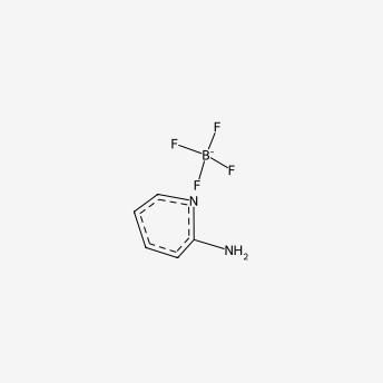 F[B-](F)(F)F.Nc1ccccn1